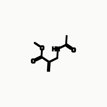 C=C(CNC(C)=O)C(=O)OC